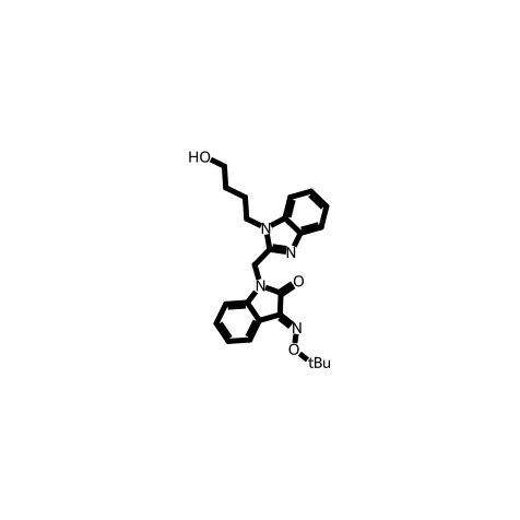 CC(C)(C)O/N=C1/C(=O)N(Cc2nc3ccccc3n2CCCCO)c2ccccc21